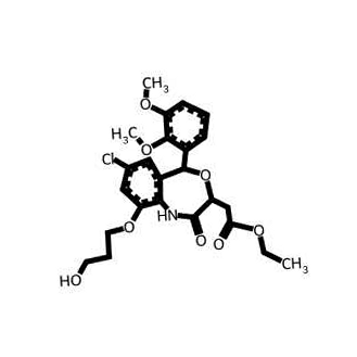 CCOC(=O)CC1OC(c2cccc(OC)c2OC)c2cc(Cl)cc(OCCCO)c2NC1=O